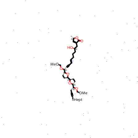 CCCCCCCC#CC[C@@H](OCOC)[C@H]1CC[C@H]([C@H]2CC[C@H]([C@@H](C#C/C=C/CCC[C@@H](O)CC3=C[C@H](C)OC3=O)OCOC)O2)O1